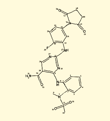 CN(c1ccccc1Nc1nc(Nc2cc(N3C(=O)CCC3=O)ccc2F)ncc1C(N)=O)S(C)(=O)=O